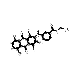 CCOC(=O)c1cccc(Nc2c(F)c(F)c3c(c2F)C(=O)c2c(O)ccc(O)c2C3=O)c1